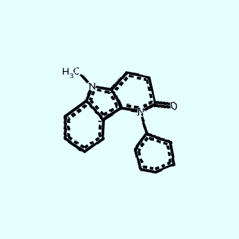 Cn1c2ccccc2c2c1ccc(=O)n2-c1ccccc1